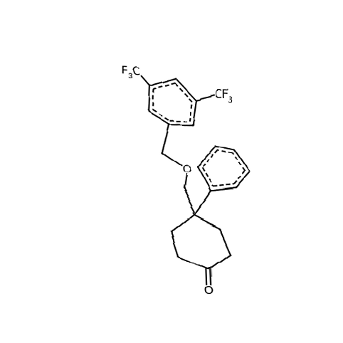 O=C1CCC(COCc2cc(C(F)(F)F)cc(C(F)(F)F)c2)(c2ccccc2)CC1